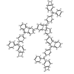 c1ccc(N(c2ccc(-n3c4ccccc4c4cc(-c5ccc6c(c5)c5cc(-c7ccc8c(c7)c7ccccc7n8-c7ccc(N(c8ccccc8)c8ccc9c(c8)CC9)cc7)ccc5n6-c5ccc(N(c6ccccc6)c6ccc7c(c6)CC7)cc5)ccc43)cc2)c2ccc3c(c2)CC3)cc1